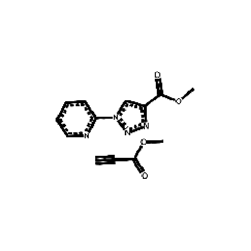 C#CC(=O)OC.COC(=O)c1cn(-c2ccccn2)nn1